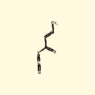 CC=CC(=O)N=C=O